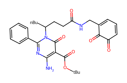 CCCCC(CCC(=O)NCC1=CC=CC(=O)C1=O)n1c(-c2ccccc2)nc(N)c(C(=O)OC(C)(C)C)c1=O